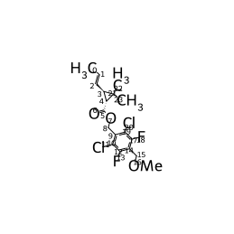 CC=C[C@@H]1[C@@H](C(=O)OCc2c(Cl)c(F)c(COC)c(F)c2Cl)C1(C)C